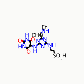 CCNCc1nc(NCCS(=O)(=O)O)nc(Nc2c(OC=O)[nH]c(=O)[nH]c2=O)n1